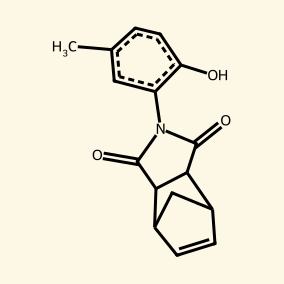 Cc1ccc(O)c(N2C(=O)C3C4C=CC(C4)C3C2=O)c1